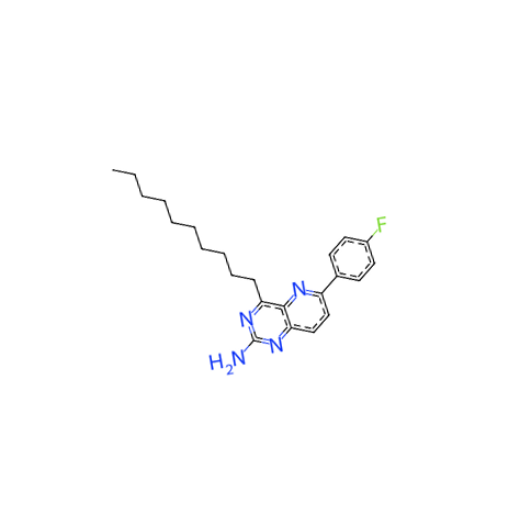 CCCCCCCCCCc1nc(N)nc2ccc(-c3ccc(F)cc3)nc12